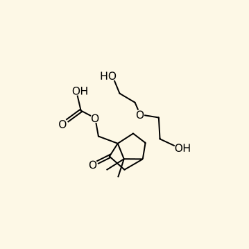 CC1(C)C2CCC1(COC(=O)O)C(=O)C2.OCCOCCO